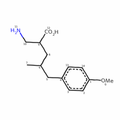 COc1ccc(CC(C)CC(CN)C(=O)O)cc1